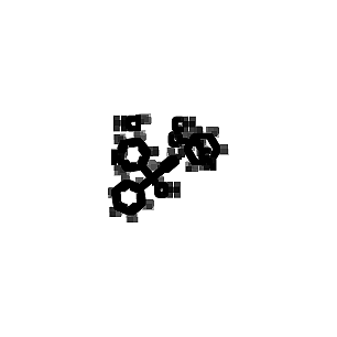 CO[C@]1(C#C[C@](O)(c2ccccc2)c2cccnc2)CN2CCC1CC2.Cl